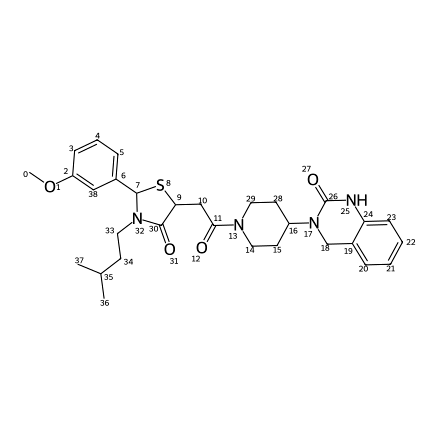 COc1cccc(C2SC(CC(=O)N3CCC(N4Cc5ccccc5NC4=O)CC3)C(=O)N2CCC(C)C)c1